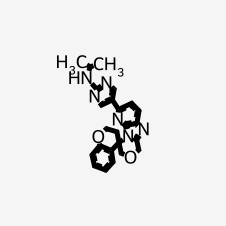 CC(C)Nc1ncc(-c2ccc3nc4n(c3n2)C2(CCOc3ccccc32)COC4)cn1